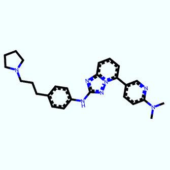 CN(C)c1ccc(-c2cccc3nc(Nc4ccc(CCCN5CCCC5)cc4)nn23)cn1